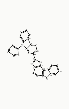 c1ccc(-n2c3ccccc3c3ccc(-c4nc5ccc6sc7ccccc7c6c5s4)cc32)cc1